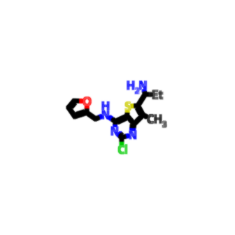 CCC(N)c1sc2c(NCc3ccco3)nc(Cl)nc2c1C